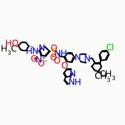 CC1(C)CCC(CN2CCN(c3ccc(C(=O)NS(=O)(=O)c4cnc(NC[C@H]5CC[C@](C)(O)CC5)c([N+](=O)[O-])c4)c(Oc4cnc5[nH]ccc5c4)c3)CC2)=C(c2ccc(Cl)cc2)C1